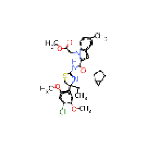 C1CC2CC2C1.CCC1(c2cc(OC)c(Cl)cc2OC)CSC(NC(=O)c2cc3cc(C)ccc3n2CC(=O)OC)=N1